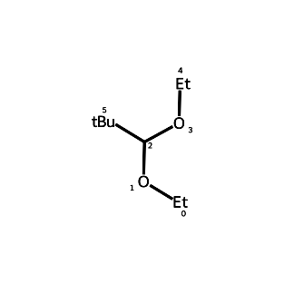 CCOC(OCC)C(C)(C)C